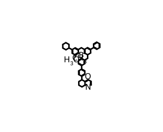 Cc1cc(C2CCCCC2)cc2c1B1C3=C(C=C(c4ccccc4)CC3Cc3cc(-c4ccc5c(c4)Oc4ccnc6c4C5CCC6)cc(C)c31)C2